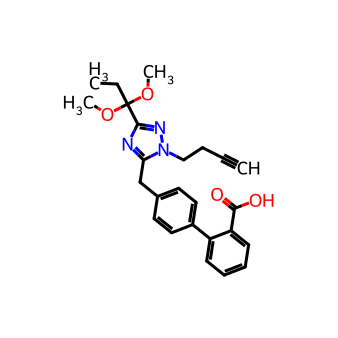 C#CCCn1nc(C(CC)(OC)OC)nc1Cc1ccc(-c2ccccc2C(=O)O)cc1